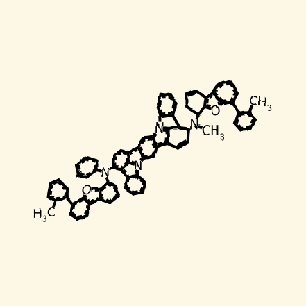 Cc1ccccc1-c1cccc2c3c(oc12)C(N(C)C1C=Cc2c4n(c5cc6c7ccc(N(c8ccccc8)c8cccc9c8oc8c(-c%10ccccc%10C)cccc89)c8c9ccccc9n(c6cc25)c78)-c2ccccc2C41)CC=C3